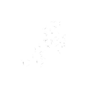 c1ccc(-c2cccc(-c3nc(-c4ccc5cc(-c6ccccc6)c6ccccc6c5c4)nc(-c4cccc5oc6ccccc6c45)n3)c2)cc1